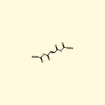 CNC(=O)OC(=O)/C=C/C(=O)OC(=O)NC